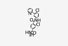 CC(C)NC(=O)c1ccc(C(=O)Nc2ccc(Cl)c(-c3ccccn3)c2)c(Cl)c1